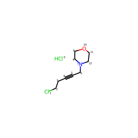 Cl.ClCCC#CCN1CCOCC1